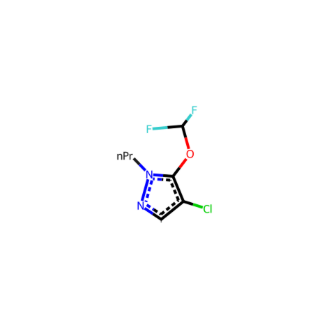 CCCn1n[c]c(Cl)c1OC(F)F